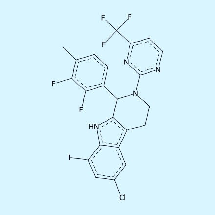 Cc1ccc(C2c3[nH]c4c(I)cc(Cl)cc4c3CCN2c2nccc(C(F)(F)F)n2)c(F)c1F